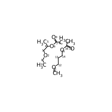 CCOCC(C)OC(C)=O.COCCCOC(C)=O